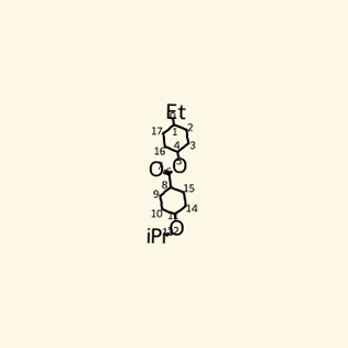 CCC1CCC(OC(=O)C2CCC(OC(C)C)CC2)CC1